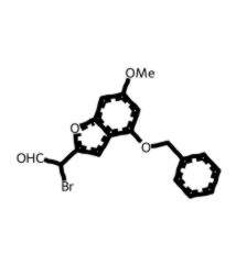 COc1cc(OCc2ccccc2)c2cc(C(Br)C=O)oc2c1